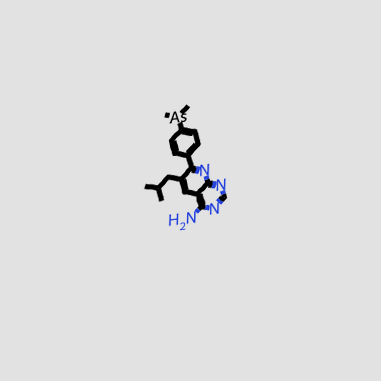 CC(C)Cc1cc2c(N)ncnc2nc1-c1ccc([As](C)C)cc1